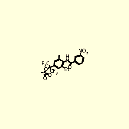 CCc1cc(C(OS(C)(=O)=O)(C(F)(F)F)C(F)(F)F)cc(C)c1NC(=O)c1cccc([N+](=O)[O-])c1